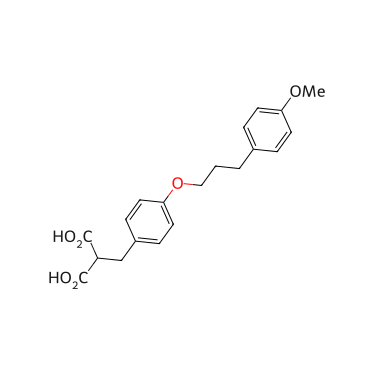 COc1ccc(CCCOc2ccc(CC(C(=O)O)C(=O)O)cc2)cc1